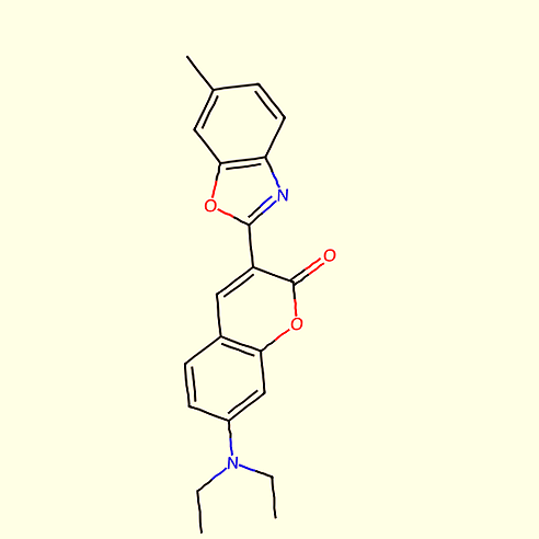 CCN(CC)c1ccc2cc(-c3nc4ccc(C)cc4o3)c(=O)oc2c1